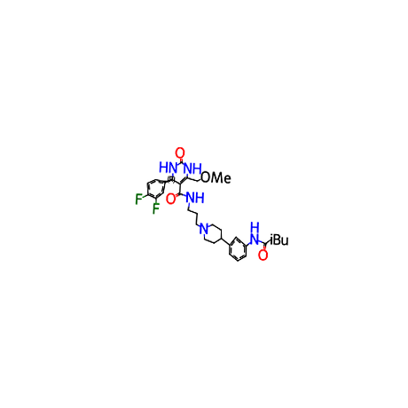 CCC(C)C(=O)Nc1cccc(C2CCN(CCCNC(=O)C3=C(COC)NC(=O)N[C@@H]3c3ccc(F)c(F)c3)CC2)c1